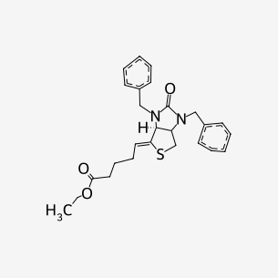 CCOC(=O)CCC/C=C1\SCC2[C@@H]1N(Cc1ccccc1)C(=O)N2Cc1ccccc1